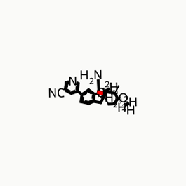 [2H]C([2H])([2H])O[C@@H]1CC[C@]2(Cc3ccc(-c4cncc(C#N)c4)cc3[C@]23N=C(N)OC3([2H])[2H])C[C@H]1C